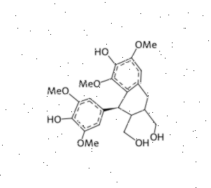 COc1cc([C@H]2c3c(cc(OC)c(O)c3OC)CC(CO)C2CO)cc(OC)c1O